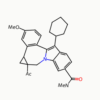 CNC(=O)c1ccc2c(C3CCCCC3)c3n(c2c1)CC1(C(C)=O)CC1c1cc(OC)ccc1-3